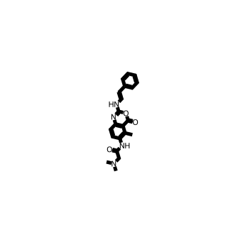 Cc1c(NC(=O)CN(C)C)ccc2nc(NC=Cc3ccccc3)oc(=O)c12